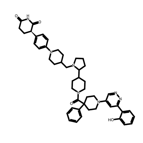 O=C1CC[C@H](c2ccc(N3CCC(CN4CCCC4C4CCN(C(=O)C5(c6ccccc6)CCN(c6cnnc(-c7ccccc7O)c6)CC5)CC4)CC3)cc2)C(=O)N1